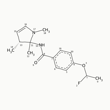 CC(F)Oc1ccc(C(=O)NC2(C)[C@H](C)C=CN2C)cc1